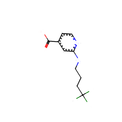 O=C(O)c1ccnc(NCCCC(F)(F)F)c1